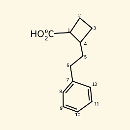 O=C(O)C1CCC1CCc1ccccc1